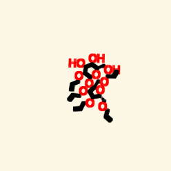 C=CCOC[C@H]1O[C@@](COCC=C)(O[C@H]2O[C@H](CO)[C@@H](O)[C@H](O)[C@H]2OCC=C)[C@@H](OCC=C)[C@@H]1OCC=C